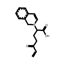 C=CC(=O)CCC(C(=O)O)N1C=Cc2ccccc2C1